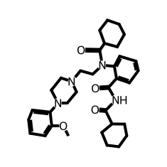 COc1ccccc1N1CCN(CCN(C(=O)C2CCCCC2)c2ccccc2C(=O)NC(=O)C2CCCCC2)CC1